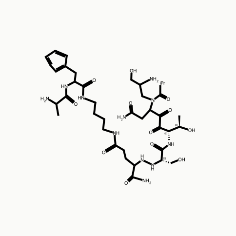 CC(C)C(=O)N(CC(N)CO)C(CC(N)=O)C(=O)C(=O)[C@@H](NC(=O)[C@H](CO)NNC(CCC(=O)NCCCCNC(=O)C(Cc1ccccc1)NC(=O)C(C)N)C(N)=O)[C@@H](C)O